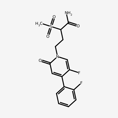 CS(=O)(=O)C(CCn1cc(F)c(-c2ccccc2F)cc1=O)C(N)=O